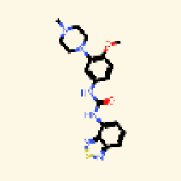 COc1ccc(NC(=O)Nc2cccc3nsnc23)cc1N1CCN(C)CC1